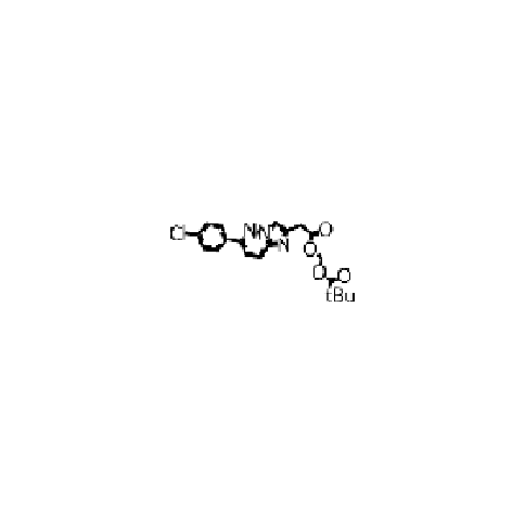 CC(C)(C)C(=O)OCOC(=O)Cc1cn2nc(-c3ccc(Cl)cc3)ccc2n1